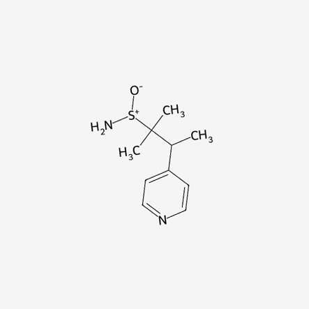 CC(c1ccncc1)C(C)(C)[S+](N)[O-]